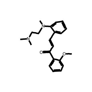 COc1ccccc1C(=O)C=Cc1ccccc1N(C)CCN(C)C